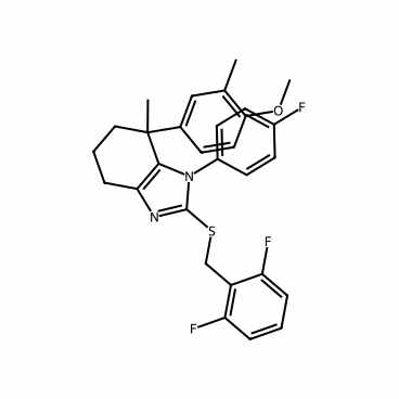 COc1ccc(C2(C)CCCc3nc(SCc4c(F)cccc4F)n(-c4ccc(F)cc4)c32)cc1C